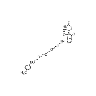 Cc1ccc(SOCCOCCOCCOCCOCCNc2cccc3c2C(=O)N(C2CCC(=O)NC2=O)C3=O)cc1